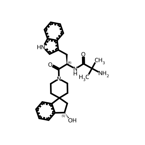 CC(C)(N)C(=O)N[C@H](Cc1c[nH]c2ccccc12)C(=O)N1CCC2(CC1)C[C@H](O)c1ccccc12